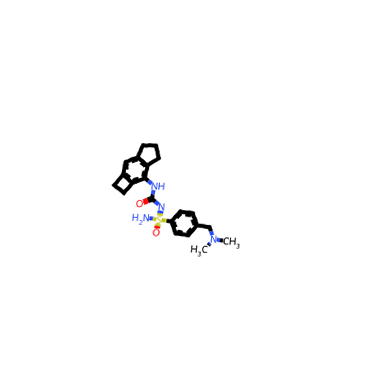 CN(C)Cc1ccc(S(N)(=O)=NC(=O)Nc2c3c(cc4c2CC4)CCC3)cc1